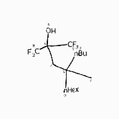 CCCCCCC(C)(CCCC)CC(O)(C(F)(F)F)C(F)(F)F